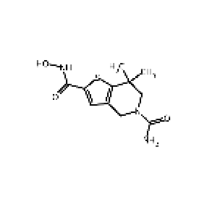 CC1(C)CN(C(N)=O)Cc2cc(C(=O)NO)sc21